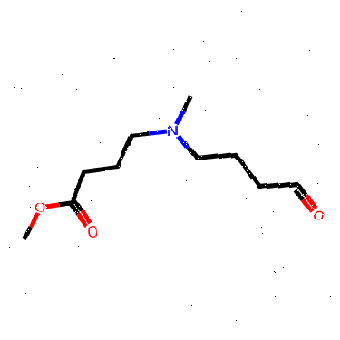 COC(=O)CCCN(C)CCCC=O